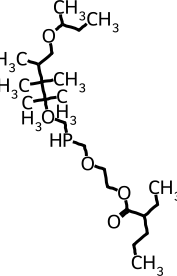 CCCC(CC)C(=O)OCCOCPCOC(C)(C)C(C)(C)C(C)COC(C)CC